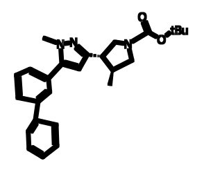 C[C@@H]1CN(C(=O)OC(C)(C)C)C[C@H]1c1cc(-c2cccc(-c3ccccc3)c2)n(C)n1